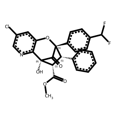 COC(=O)[C@H]1[C@@H](c2ccccc2)[C@@]2(c3ccc(C(F)F)cc3)Oc3cc(Cl)cnc3[C@@]1(O)C2=O